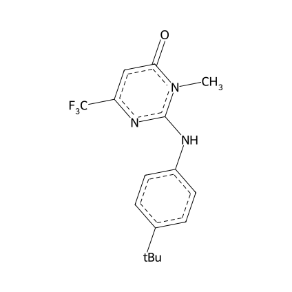 Cn1c(Nc2ccc(C(C)(C)C)cc2)nc(C(F)(F)F)cc1=O